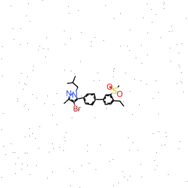 CCc1ccc(-c2ccc(-c3c(Br)c(C)nn3CC(C)C)cc2)cc1S(C)(=O)=O